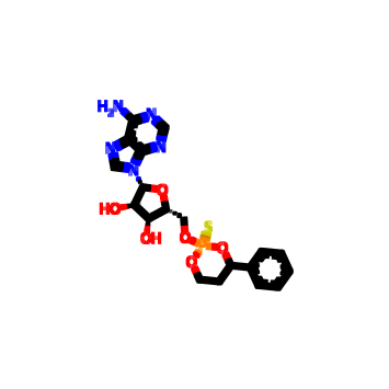 Nc1ncnc2c1ncn2[C@@H]1O[C@H](COP2(=S)OCCC(c3ccccc3)O2)[C@@H](O)[C@H]1O